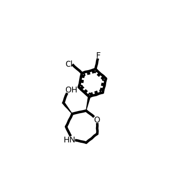 OC[C@@H]1CNCCO[C@@H]1c1ccc(F)c(Cl)c1